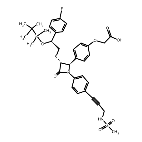 CC(C)(C)[Si](C)(C)O[C@H](CS[C@H]1C(=O)N(c2ccc(C#CCNS(C)(=O)=O)cc2)[C@@H]1c1ccc(OCC(=O)O)cc1)c1ccc(F)cc1